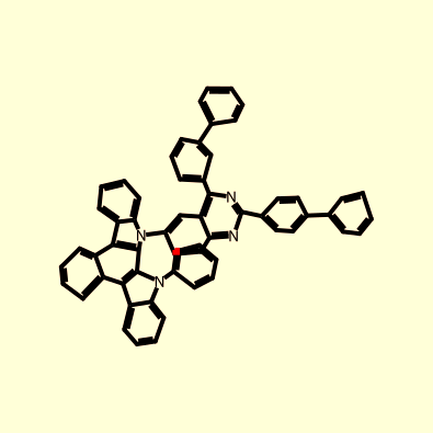 c1ccc(-c2ccc(-c3nc(-c4cccc(-c5ccccc5)c4)c4cc(-n5c6ccccc6c6c7ccccc7c7c8ccccc8n(-c8ccccc8)c7c65)ccc4n3)cc2)cc1